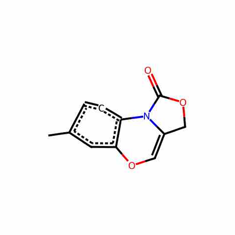 Cc1ccc2c(c1)OC=C1COC(=O)N12